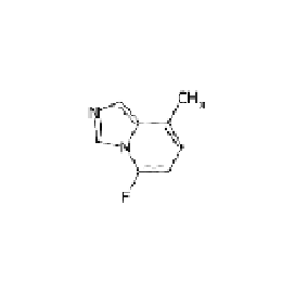 Cc1ccc(F)n2cncc12